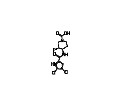 O=C(N[C@@H]1CCN(C(=O)O)C[C@@H]1F)c1cc(Cl)c(Cl)[nH]1